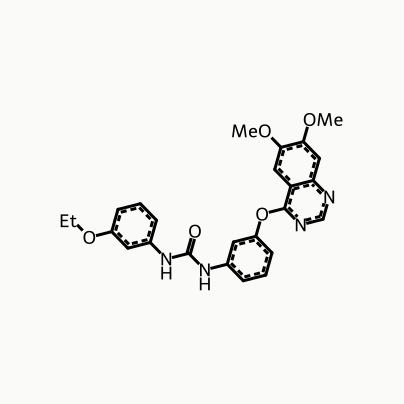 CCOc1cccc(NC(=O)Nc2cccc(Oc3ncnc4cc(OC)c(OC)cc34)c2)c1